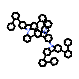 c1ccc(-c2ccccc2-c2ccc3c(c2)c2cc(-c4ccccc4-c4ccccc4)ccc2n3-c2ccc3c(c2)c2cc(-c4ccccc4-n4c5ccc(-c6ccccc6-c6ccccc6)cc5c5cc(-c6ccccc6-c6ccccc6)ccc54)ccc2n3-c2ccccc2)cc1